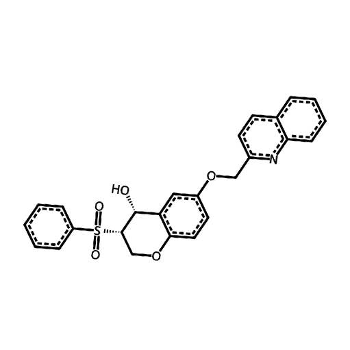 O=S(=O)(c1ccccc1)[C@H]1COc2ccc(OCc3ccc4ccccc4n3)cc2[C@H]1O